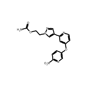 NC(=O)OCCn1cc(-c2cc(Oc3ccc([N+](=O)[O-])nc3)ccn2)cn1